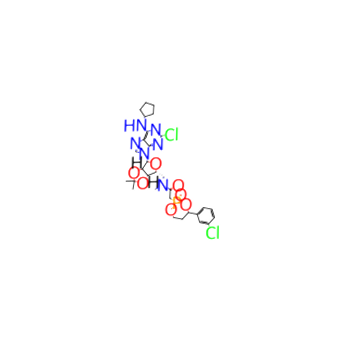 CN(C[C@H]1O[C@@H](n2cnc3c(NC4CCCC4)nc(Cl)nc32)[C@@H]2OC(C)(C)O[C@@H]21)C(=O)CP1(=O)OCCC(c2cccc(Cl)c2)O1